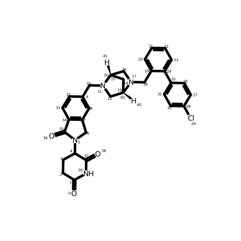 O=C1CCC(N2Cc3cc(CN4C[C@@H]5C[C@H]4CN5Cc4ccccc4-c4ccc(Cl)cc4)ccc3C2=O)C(=O)N1